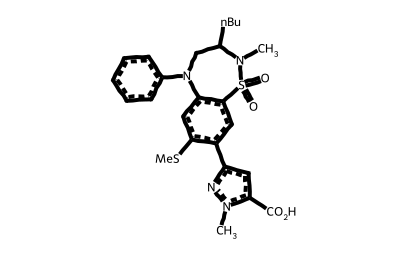 CCCCC1CN(c2ccccc2)c2cc(SC)c(-c3cc(C(=O)O)n(C)n3)cc2S(=O)(=O)N1C